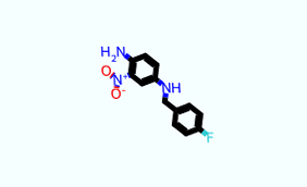 Nc1ccc(NCc2ccc(F)cc2)cc1[N+](=O)[O-]